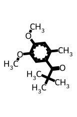 COc1cc(C)c(C(=O)C(C)(C)C)cc1OC